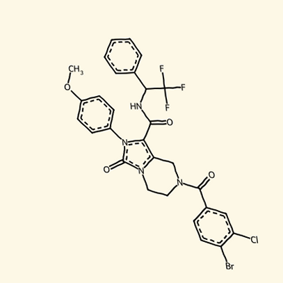 COc1ccc(-n2c(C(=O)NC(c3ccccc3)C(F)(F)F)c3n(c2=O)CCN(C(=O)c2ccc(Br)c(Cl)c2)C3)cc1